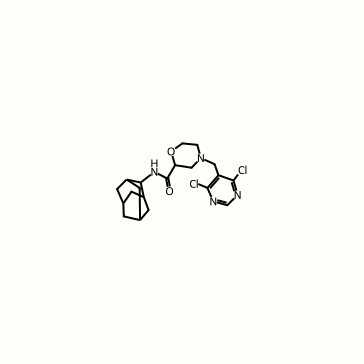 O=C(NC1C2CC3CC(C2)CC1C3)C1CN(Cc2c(Cl)ncnc2Cl)CCO1